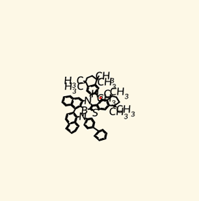 Cc1cc2c(cc1N1c3cc4ccccc4c4c3B(c3sc5cc6c(cc5c31)C(C)(C)CCC6(C)C)N(c1ccc(-c3ccccc3)cc1)c1c-4ccc3ccccc13)C(C)(C)CCC2(C)C